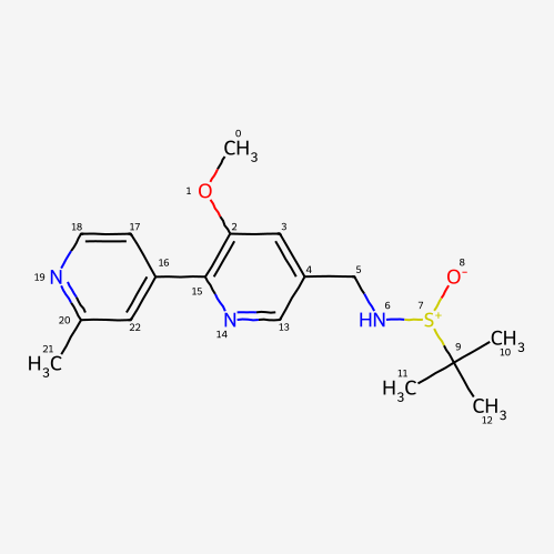 COc1cc(CN[S+]([O-])C(C)(C)C)cnc1-c1ccnc(C)c1